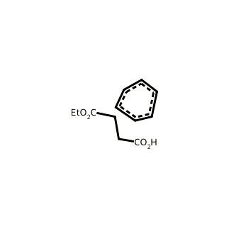 CCOC(=O)CCC(=O)O.c1ccccc1